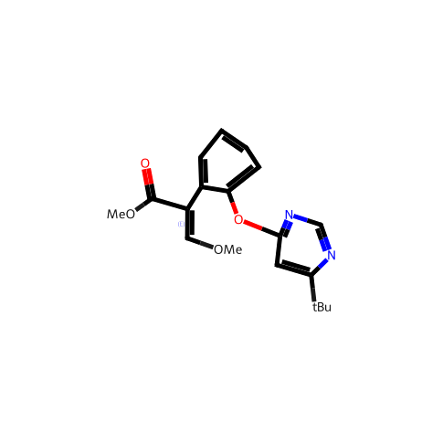 CO/C=C(/C(=O)OC)c1ccccc1Oc1cc(C(C)(C)C)ncn1